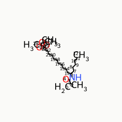 C=C(C)C(=O)NC(CCCCCC)CCCCCCCCCCC[Si](OC)(OC)OC